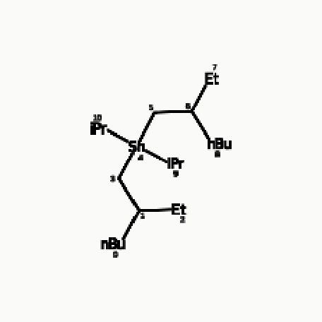 CCCCC(CC)[CH2][Sn]([CH2]C(CC)CCCC)([CH](C)C)[CH](C)C